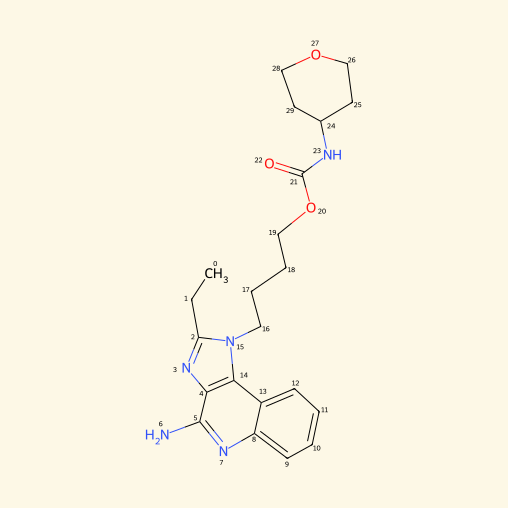 CCc1nc2c(N)nc3ccccc3c2n1CCCCOC(=O)NC1CCOCC1